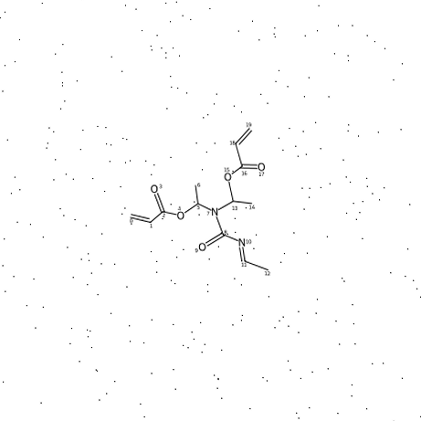 C=CC(=O)OC(C)N(C(=O)N=CC)C(C)OC(=O)C=C